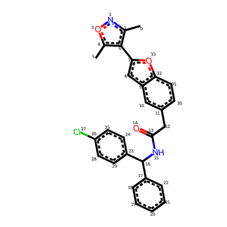 Cc1noc(C)c1-c1cc2cc(CC(=O)NC(c3ccccc3)c3ccc(Cl)cc3)ccc2o1